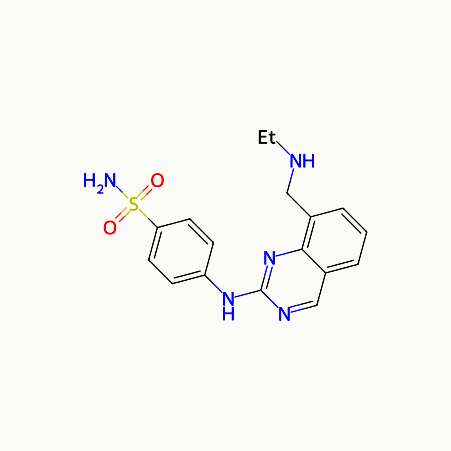 CCNCc1cccc2cnc(Nc3ccc(S(N)(=O)=O)cc3)nc12